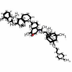 C/C(NCC1CC2(C)CC3(C)CC1CC(OCCN1CCN(C)CC1)(C2)C3)=C(/C=N)c1ccc(N2CCCc3c2nnc(Nc2nc4cccc(F)c4s2)c3C)nc1C(=O)O